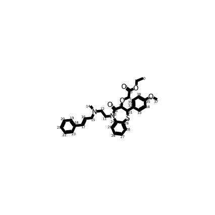 CCOC(=O)COC1C(=O)N(CCN(C)CC=Cc2ccccc2)c2ccccc2SC1c1ccc(OC)cc1